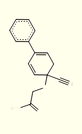 CC(=O)CSC1(C#N)C=CC(c2ccccc2)=CC1